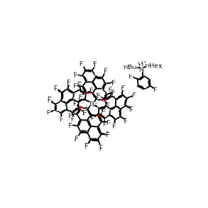 CCCCCC[NH+](CCCC)c1cc(F)ccc1F.Fc1c(F)c2c(F)c(F)c3c(F)c(F)c([B-](c4c(F)c(F)c5c(F)c(F)c6c(F)c(F)c(F)c7c(F)c(F)c4c5c67)(c4c(F)c(F)c5c(F)c(F)c6c(F)c(F)c(F)c7c(F)c(F)c4c5c67)c4c(F)c(F)c5c(F)c(F)c6c(F)c(F)c(F)c7c(F)c(F)c4c5c67)c4c(F)c(F)c(c1F)c2c34